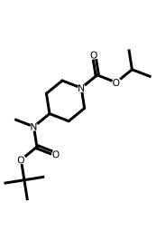 CC(C)OC(=O)N1CCC(N(C)C(=O)OC(C)(C)C)CC1